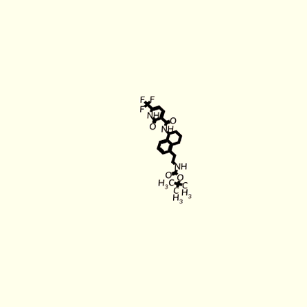 CC(C)(C)OC(=O)NCCc1cccc2c1CCCC2NC(=O)c1ccc(C(F)(F)F)[nH]c1=O